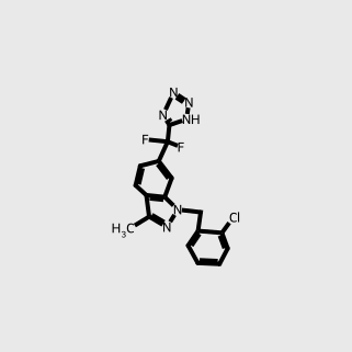 Cc1nn(Cc2ccccc2Cl)c2cc(C(F)(F)c3nnn[nH]3)ccc12